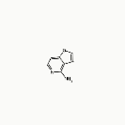 Nc1nccc2oc[c]c12